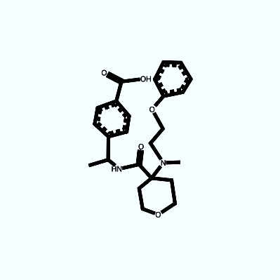 CC(NC(=O)C1(N(C)CCOc2ccccc2)CCOCC1)c1ccc(C(=O)O)cc1